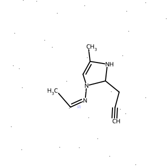 C#CCC1NC(C)=CN1/N=C\C